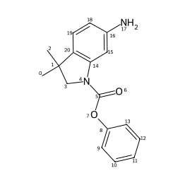 CC1(C)CN(C(=O)Oc2ccccc2)c2cc(N)ccc21